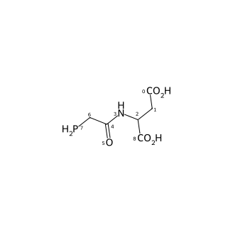 O=C(O)CC(NC(=O)CP)C(=O)O